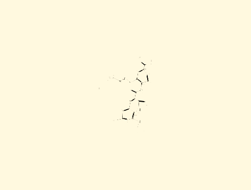 CNc1cc(F)cc2cc(C(=O)Nc3ccc(C(=O)O)cc3CNCCO)c(=O)[nH]c12.Cl